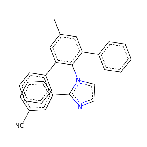 Cc1cc(-c2ccccc2)c(-n2ccnc2-c2cccc(C#N)c2)c(-c2ccccc2)c1